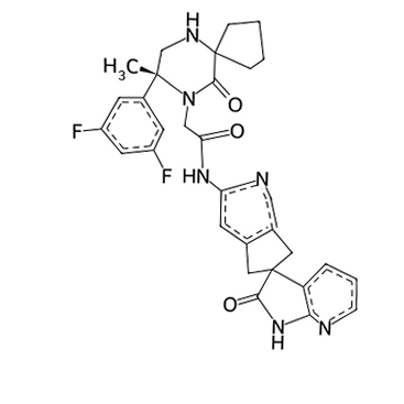 C[C@@]1(c2cc(F)cc(F)c2)CNC2(CCCC2)C(=O)N1CC(=O)Nc1cc2c(cn1)CC1(C2)C(=O)Nc2ncccc21